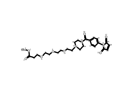 CC(C)(C)OC(=O)CCOCCOCCOCCN1CCN(C(=O)c2ccc(N3C(=O)C=CC3=O)cc2)CC1